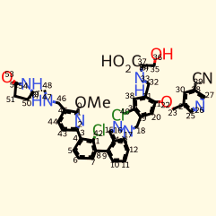 COc1nc(-c2cccc(-c3cccc4c3cnn4Cc3cc(OCc4cncc(C#N)c4)c(CN[C@@H](CO)C(=O)O)cc3Cl)c2Cl)ccc1CNC[C@@H]1CCC(=O)N1